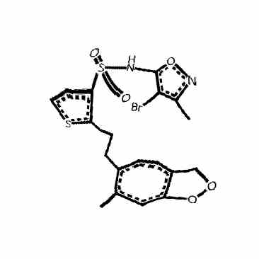 Cc1cc2c(cc1CCc1sccc1S(=O)(=O)Nc1onc(C)c1Br)COO2